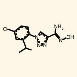 CC(C)c1cc(Cl)ccc1-n1cc(/C(N)=N/O)nn1